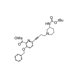 COC(=O)c1nc(C#CCCN2CCCC(NC(=O)OC(C)(C)C)C2)ccc1OCc1ccccc1